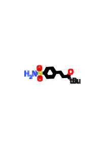 CC(C)(C)C(=O)CCc1ccc(S(N)(=O)=O)cc1